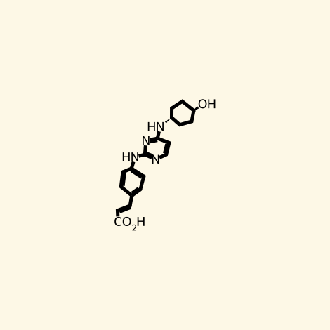 O=C(O)/C=C/c1ccc(Nc2nccc(N[C@H]3CC[C@H](O)CC3)n2)cc1